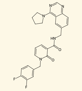 O=C(NCc1ccc2ncnc(N3CCCC3)c2c1)c1cccn(Cc2ccc(F)c(F)c2)c1=O